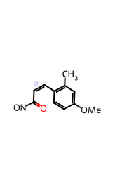 COc1ccc(/C=C\C(=O)N=O)c(C)c1